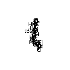 CC(C)(C)[C@H](NC(=O)c1cc2ccccc2[nH]1)C(=O)N1C[C@@H]2C[C@H]1CN2C(=O)CNS(=O)(=O)c1cc(Cl)ccc1Cl